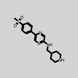 CS(=O)(=O)c1ccc(-c2cnc(NCC3CCNCC3)cn2)cc1